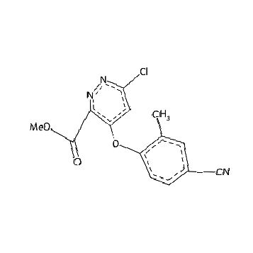 COC(=O)c1nnc(Cl)cc1Oc1ccc(C#N)cc1C